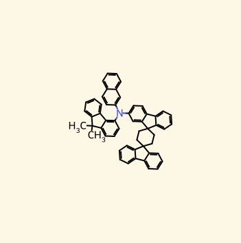 CC1(C)c2ccccc2-c2c(N(c3ccc4c(c3)C3(CCC5(CC3)c3ccccc3-c3ccccc35)c3ccccc3-4)c3ccc4ccccc4c3)cccc21